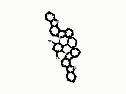 N#Cc1cc(C#N)c(-n2c3ccccc3c3c4sc5ccccc5c4ccc32)c(C2CCCCC2)c1-n1c2ccccc2c2c3sc4ccccc4c3ccc21